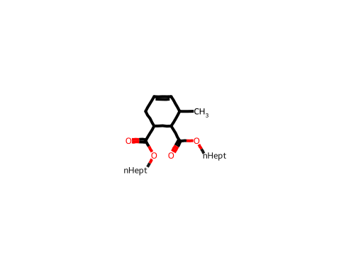 CCCCCCCOC(=O)C1CC=CC(C)C1C(=O)OCCCCCCC